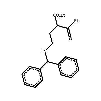 CCOC(=O)C(CCNC(c1ccccc1)c1ccccc1)C(=O)CC